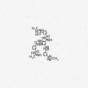 CC(=N)NC(=O)c1cccc(C(=O)NC(=N)c2cc(C(=N)NC(=O)c3cccc(C(=O)NC(C)=N)c3)cc(-c3noc(-c4cccc(-c5nc(C)no5)c4)n3)c2)c1